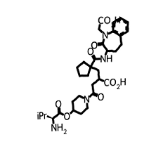 CC(C)[C@H](N)C(=O)OC1CCN(C(=O)CC(CC2(C(=O)NC3CCc4ccccc4N(CC(=O)O)C3=O)CCCC2)C(=O)O)CC1